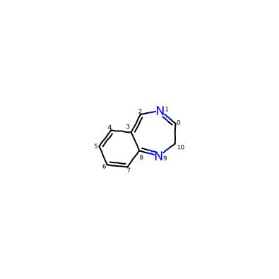 C1=NC=c2ccccc2=NC1